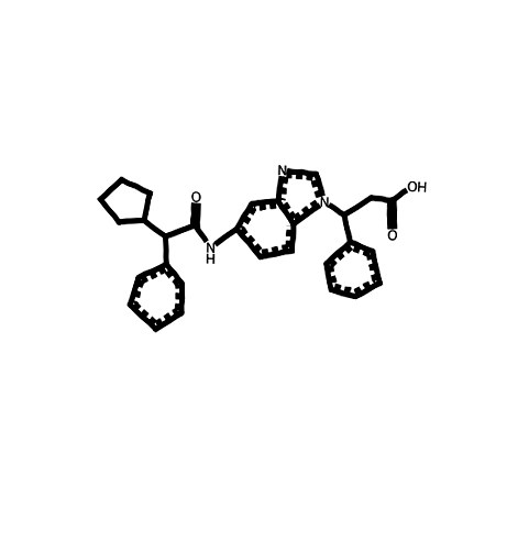 O=C(O)CC(c1ccccc1)n1cnc2cc(NC(=O)C(c3ccccc3)C3CCCC3)ccc21